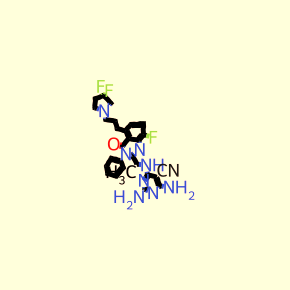 CC(Nc1nc(N)nc(N)c1C#N)c1nc2c(F)ccc(CCCN3CCC(F)(F)C3)c2c(=O)n1-c1ccccc1